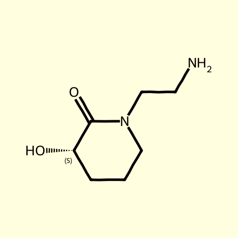 NCCN1CCC[C@H](O)C1=O